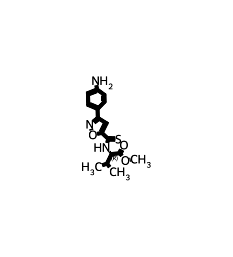 COC(=O)[C@H](NC(=S)c1cc(-c2ccc(N)cc2)no1)C(C)C